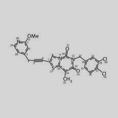 COc1cc(CC#Cc2cn3c(=O)n(Cc4ccc(Cl)c(Cl)c4)c(=O)c(C)c3s2)ccn1